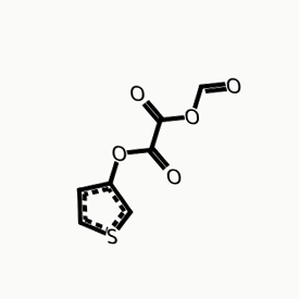 O=COC(=O)C(=O)Oc1ccsc1